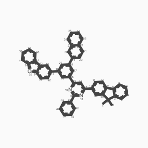 CC1(C)c2ccccc2-c2ccc(-c3cc(-c4cc(-c5ccc6ccccc6c5)cc(-c5ccc6oc7ccccc7c6c5)c4)nc(-c4ccccc4)n3)cc21